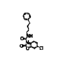 O=C(NCCCCc1ccccc1)n1c(=O)oc2cc(Cl)ccc21